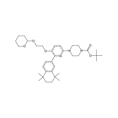 CC(C)(C)OC(=O)N1CCN(c2ccc(OCCOC3CCCCO3)c(-c3ccc4c(c3)C(C)(C)CCC4(C)C)n2)CC1